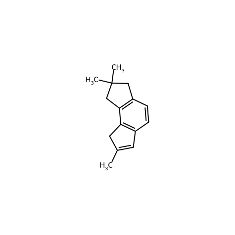 CC1=Cc2ccc3c(c2C1)CC(C)(C)C3